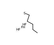 CCCCC[S].F.F.F